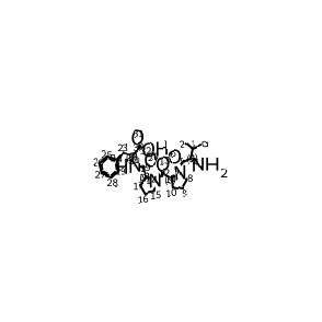 CC(C)[C@H](N)C(=O)N1CCC[C@H]1C(=O)N1CCC[C@H]1C(=O)N[C@@H](Cc1ccccc1)C(=O)O